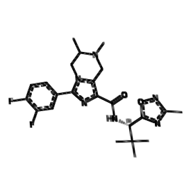 Cc1noc([C@@H](NC(=O)c2nc(-c3ccc(F)c(F)c3)n3c2CN(C)C(C)C3)C(C)(C)C)n1